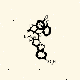 CCN1[C@H]2Cc3c4ccc(C(=O)O)cc4nn3C2[C@H](c2cccc(Cl)c2F)[C@]12C(=O)Nc1cc(Cl)ccc12